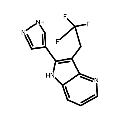 FC(F)(F)Cc1c(-c2cn[nH]c2)[nH]c2cccnc12